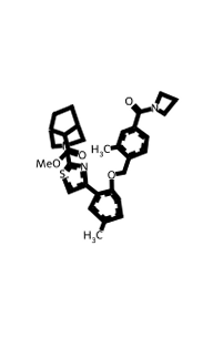 COC(=O)C1C2CCC1CN(c1nc(-c3cc(C)ccc3OCc3ccc(C(=O)N4CCC4)cc3C)cs1)C2